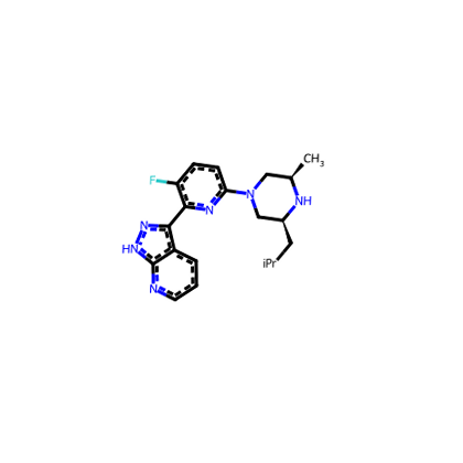 CC(C)C[C@H]1CN(c2ccc(F)c(-c3n[nH]c4ncccc34)n2)C[C@@H](C)N1